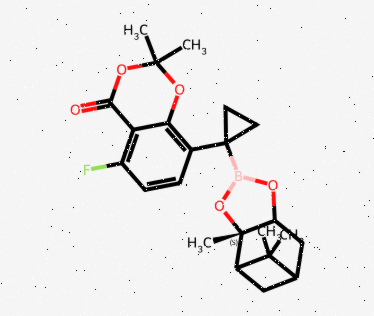 CC1(C)OC(=O)c2c(F)ccc(C3(B4OC5CC6CC(C6(C)C)[C@]5(C)O4)CC3)c2O1